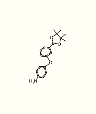 CC1(C)OB(c2cccc(Oc3ccc(N)cc3)c2)OC1(C)C